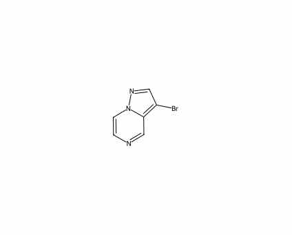 Brc1cnn2ccncc12